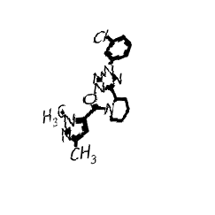 Cc1cc(C(=O)N2CCCCC2c2nnn(-c3cccc(Cl)c3)n2)n(C)n1